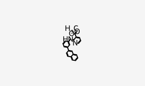 COC(=O)c1cccnc1Nc1cccc(-c2ccc3ccccc3c2)c1